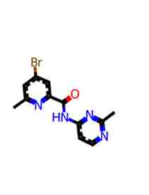 Cc1cc(Br)cc(C(=O)Nc2ccnc(C)n2)n1